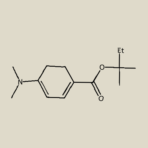 CCC(C)(C)OC(=O)C1=CC=C(N(C)C)CC1